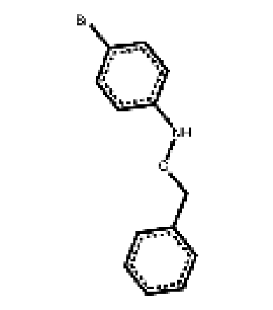 Brc1ccc(NOCc2ccccc2)cc1